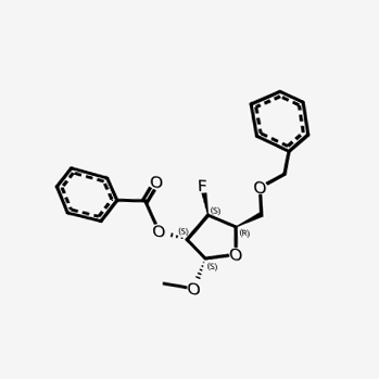 CO[C@H]1O[C@H](COCc2ccccc2)[C@H](F)[C@H]1OC(=O)c1ccccc1